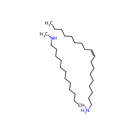 CCCCCCCC/C=C\CCCCCCCCN.CCCCCCCCCCCCNC